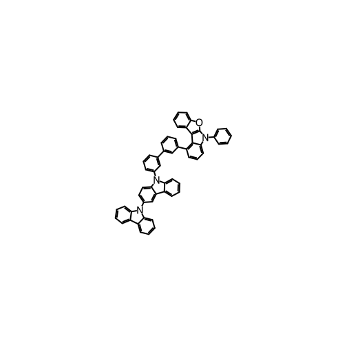 c1ccc(-n2c3cccc(-c4cccc(-c5cccc(-n6c7ccccc7c7cc(-n8c9ccccc9c9ccccc98)ccc76)c5)c4)c3c3c4ccccc4oc32)cc1